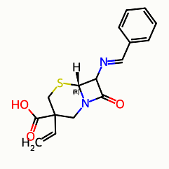 C=CC1(C(=O)O)CS[C@@H]2C(N=Cc3ccccc3)C(=O)N2C1